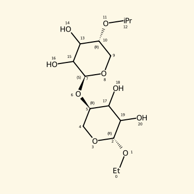 CCO[C@@H]1OC[C@@H](O[C@@H]2OC[C@@H](OC(C)C)C(O)C2O)C(O)C1O